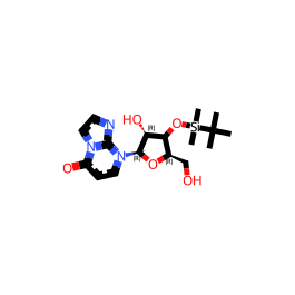 CC(C)(C)[Si](C)(C)OC1[C@@H](O)[C@H](n2ccc(=O)n3ccnc23)O[C@@H]1CO